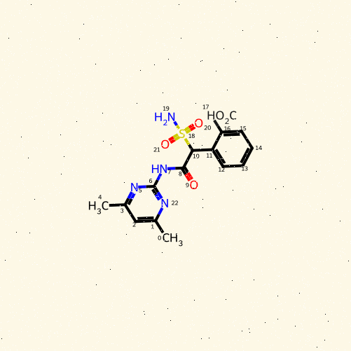 Cc1cc(C)nc(NC(=O)C(c2ccccc2C(=O)O)S(N)(=O)=O)n1